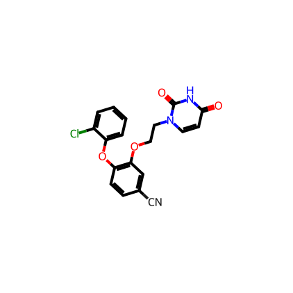 N#Cc1ccc(Oc2ccccc2Cl)c(OCCn2ccc(=O)[nH]c2=O)c1